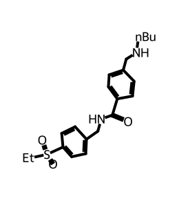 CCCCNCc1ccc(C(=O)NCc2ccc(S(=O)(=O)CC)cc2)cc1